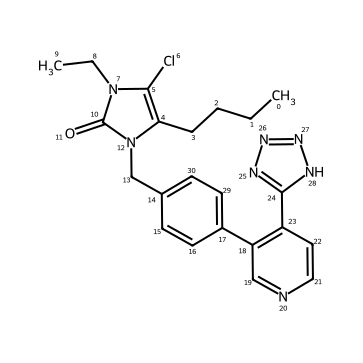 CCCCc1c(Cl)n(CC)c(=O)n1Cc1ccc(-c2cnccc2-c2nnn[nH]2)cc1